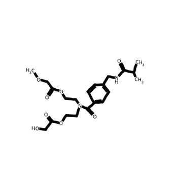 COCC(=O)OCCN(CCOC(=O)CO)C(=O)c1ccc(CNC(=O)C(C)C)cc1